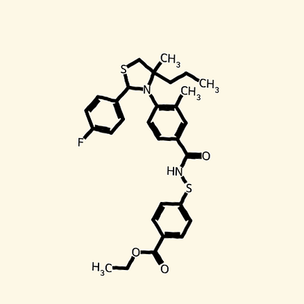 CCCC1(C)CSC(c2ccc(F)cc2)N1c1ccc(C(=O)NSc2ccc(C(=O)OCC)cc2)cc1C